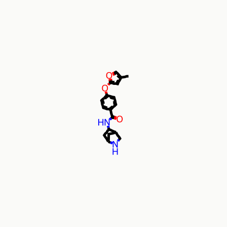 Cc1coc(Oc2ccc(C(=O)NC3CC4CC3CN4)cc2)c1